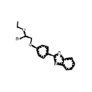 CCOC(Br)COc1ccc(-c2nc3ccccc3o2)cc1